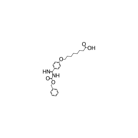 N=C(NC(=O)OCc1ccccc1)c1ccc(OCCCCCCCC(=O)O)cc1